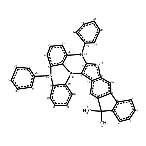 CC1(C)c2ccccc2-c2cc3oc4c(c3cc21)B1c2ccccc2N(c2ccccc2)c2cccc(c21)N4c1ccccc1